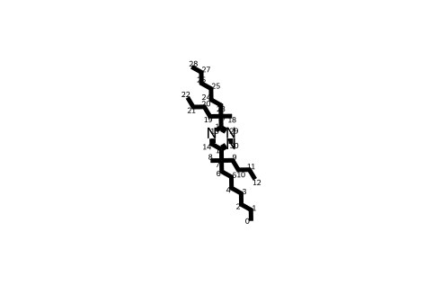 CCCCCCCC(C)(CCCC)c1cnc(C(C)(CCCC)CCCCCC)nn1